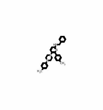 Cc1ccc(-c2nc(NCc3ccccc3)ccc2N2CCN(c3ccc(C)cc3)CC2)cc1